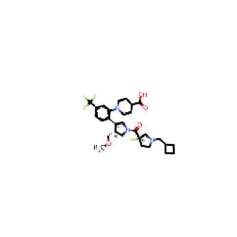 COC[C@H]1CN(C(=O)[C@@]2(F)CCN(CC3CCC3)C2)C[C@@H]1c1ccc(C(F)(F)F)cc1N1CCC(C(=O)O)CC1